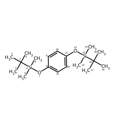 CC(C)(C)[Si](C)(C)Oc1ccc(O[Si](C)(C)C(C)(C)C)cc1